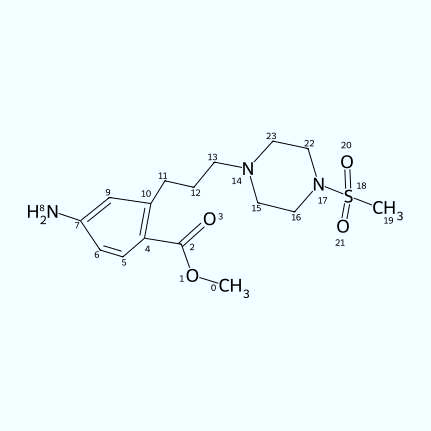 COC(=O)c1ccc(N)cc1CCCN1CCN(S(C)(=O)=O)CC1